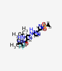 CC(C)Nc1cc(Nc2ccnc(-c3cnn(S(=O)(=O)C4CC4)c3)n2)ncc1C(=O)N[C@@H](C(C)C)C(F)(F)F